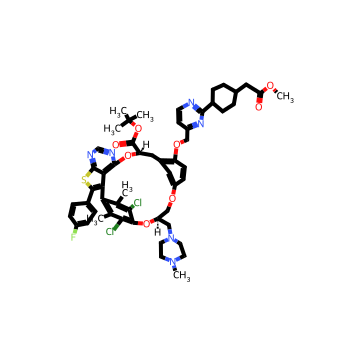 COC(=O)CC1CCC(c2nccc(COc3ccc4cc3C[C@H](C(=O)OC(C)(C)C)Oc3ncnc5sc(-c6ccc(F)cc6)c(c35)-c3c(C)c(Cl)c(c(Cl)c3C)O[C@H](CN3CCN(C)CC3)CO4)n2)CC1